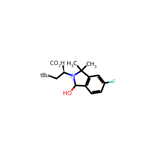 CC(C)(C)C[C@@H](C(=O)O)N1C(O)c2ccc(F)cc2C1(C)C